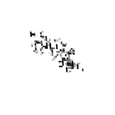 Cc1cn(-c2ccc3c4c(cccc24)C(=O)N(OS(=O)(=O)C(F)(F)F)C3=O)c2ccccc12